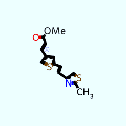 COC(=O)/C=C/c1csc(C=Cc2csc(C)n2)c1